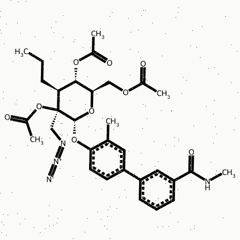 CCC[C@H]1[C@H](OC(C)=O)[C@@H](COC(C)=O)O[C@H](Oc2ccc(-c3cccc(C(=O)NC)c3)cc2C)[C@@]1(CN=[N+]=[N-])OC(C)=O